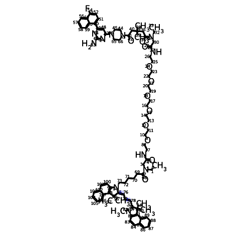 CCN(CC(=O)NCCOCCOCCOCCOCCOCCOCCNC(=O)CN(CC)C(=O)CC(C)(C)CC(=O)N1CCN(c2cc(-c3ccc(F)c4ccccc34)nc(N)n2)CC1)C(=O)CCCCCN1/C(=C/C=C/C2=[N+](C)c3ccc4ccccc4c3C2(C)C)C(C)(C)c2c1ccc1ccccc21